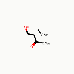 COC(=O)CCO.COC(C)=O